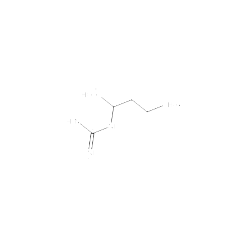 CCCCCCCCC(NC(=N)N)C(=O)O